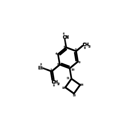 C=C(CC)c1cc(C#N)c(C)cc1C1CCC1